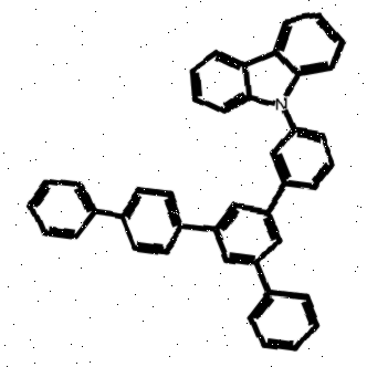 c1ccc(-c2ccc(-c3cc(-c4ccccc4)cc(-c4cccc(-n5c6ccccc6c6ccccc65)c4)c3)cc2)cc1